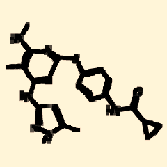 CNc1nc(Sc2ccc(NC(=O)C3CC3)cc2)nc(Nc2cc(C)[nH]n2)c1C